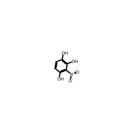 O=[N+]([O-])c1c(O)ccc(O)c1O